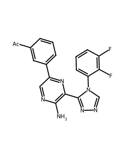 CC(=O)c1cccc(-c2cnc(N)c(-c3nncn3-c3cccc(F)c3F)n2)c1